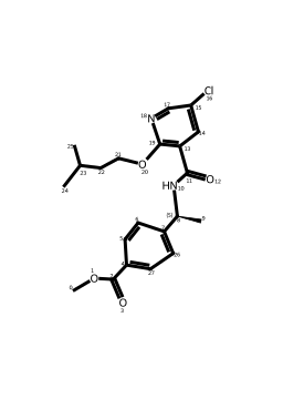 COC(=O)c1ccc([C@H](C)NC(=O)c2cc(Cl)cnc2OCCC(C)C)cc1